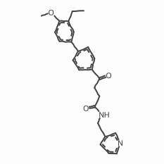 CCc1cc(-c2ccc(C(=O)CCC(=O)NCc3cccnc3)cc2)ccc1OC